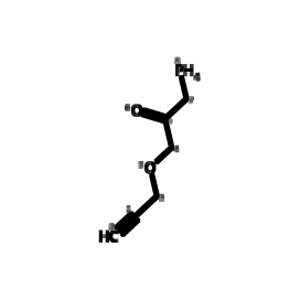 C#CCOCC(=O)C[PH4]